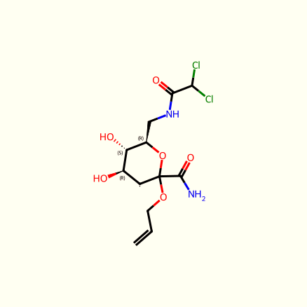 C=CCOC1(C(N)=O)[CH][C@@H](O)[C@H](O)[C@@H](CNC(=O)C(Cl)Cl)O1